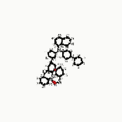 c1ccc(-c2ccc(N(c3cccc(-c4ccc5c(c4)Oc4ccccc4[Si]54c5ccccc5Sc5ccccc54)c3)c3cccc4ccccc34)cc2)cc1